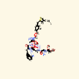 Cc1csc(Cc2ccc(COCNC(=O)CNC(=O)[C@H](Cc3ccccc3)NC(O)CNC(=O)CNC(=O)CBr)cc2)c1